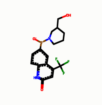 O=c1cc(C(F)(F)F)c2cc([S+]([O-])N3CCCC(CO)C3)ccc2[nH]1